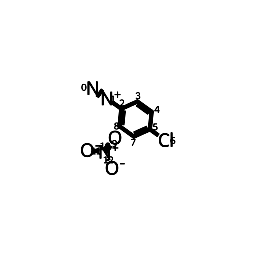 N#[N+]c1ccc(Cl)cc1.O=[N+]([O-])[O-]